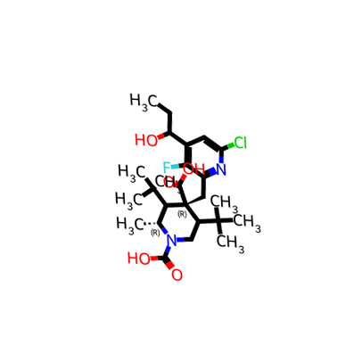 CCC(O)c1cc(Cl)nc(C[C@@]2(C(=O)O)C(C(C)(C)C)CN(C(=O)O)[C@H](C)C2C(C)(C)C)c1F